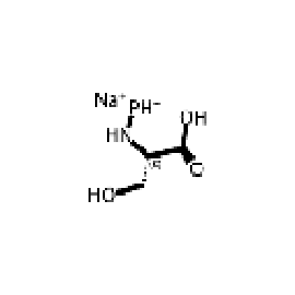 O=C(O)[C@H](CO)N[PH-].[Na+]